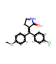 CSc1ccc(C(=C2CCNC2=O)c2ccc(Cl)cc2)cc1